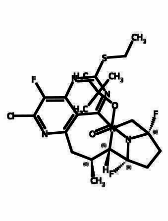 CCSc1nc2c3c(nc(Cl)c(F)c3n1)C[C@H](C)[C@@H]1N2C[C@@]2(F)CC[C@]1(F)N2C(=O)OC(C)(C)C